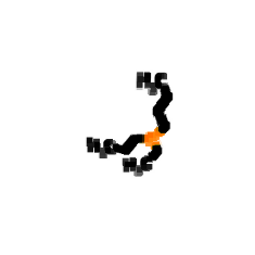 CCCCP(CC)CCC